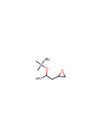 CCCC(CC1CO1)O[Si](C)(C)C(C)(C)C